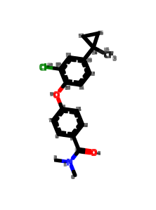 CN(C)C(=O)c1ccc(Oc2ccc(C3(C(F)(F)F)CC3)cc2Cl)cc1